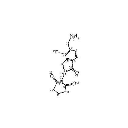 NCc1ccc2c(c1F)CN(N1C(=O)CCCC1=O)C2=O